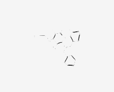 CCc1c(C)nc(N(Cc2ccccc2)Cc2ccccc2)c(N)c1NCC(C)C